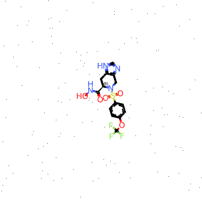 O=C(NO)[C@H]1Cc2[nH]cnc2CN1S(=O)(=O)c1ccc(OC(F)(F)F)cc1